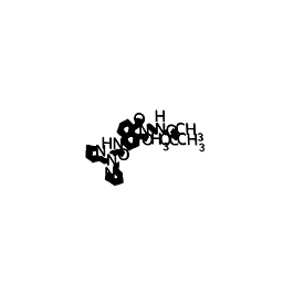 CC(C)(C)OC(=O)NCCN1C(=O)c2cccc3c(NC(=O)CN(Cc4ccccn4)Cc4ccccn4)ccc(c23)C1=O